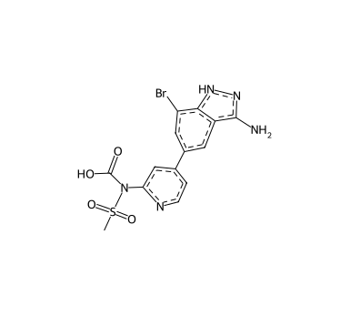 CS(=O)(=O)N(C(=O)O)c1cc(-c2cc(Br)c3[nH]nc(N)c3c2)ccn1